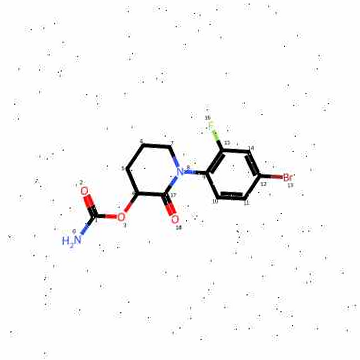 NC(=O)OC1CCCN(c2ccc(Br)cc2F)C1=O